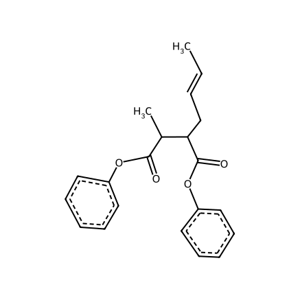 CC=CCC(C(=O)Oc1ccccc1)C(C)C(=O)Oc1ccccc1